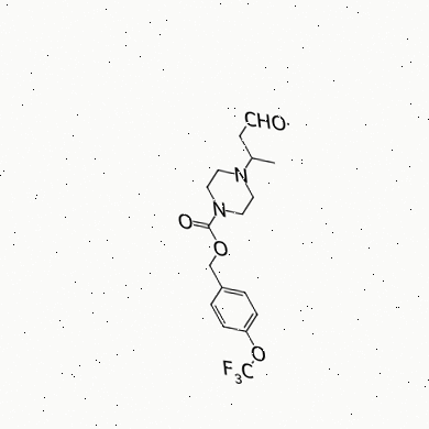 CC(C[C]=O)N1CCN(C(=O)OCc2ccc(OC(F)(F)F)cc2)CC1